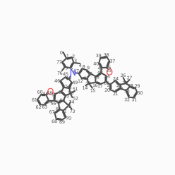 Cc1cc(C)c(N(c2ccc3c(c2)C(C)(C)c2cc(-c4ccc5c(c4)C(C)(C)c4ccccc4-5)c4oc5ccccc5c4c2-3)c2ccc3c(c2)C(C)(C)c2c4c(c5c(oc6ccccc65)c2-3)-c2ccccc2C4(C)C)c(C)c1